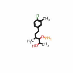 Cc1cc(CCC(C)C(OP)C(C)O)ccc1Cl